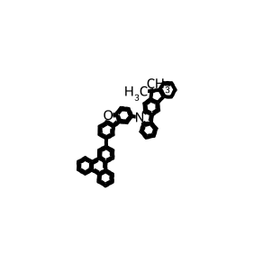 CC1(C)C2=C(CCC=C2)c2cc3c4ccccc4n(-c4ccc5oc6ccc(-c7ccc8c9ccccc9c9ccccc9c8c7)cc6c5c4)c3cc21